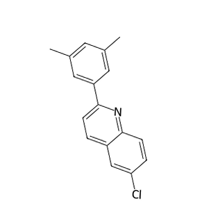 Cc1cc(C)cc(-c2ccc3cc(Cl)ccc3n2)c1